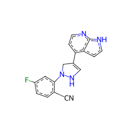 N#Cc1ccc(F)cc1N1CC(c2ccnc3[nH]ccc23)=CN1